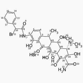 Br.CC1c2ccc(NC(=O)C(Br)c3ccccc3)c(O)c2C(=O)C2=C(O)[C@]3(O)C(=O)C(C(N)=O)=C(O)[C@@H](N(C)C)C3C(O)C21